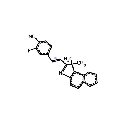 CC1(C)C(/C=C/c2ccc(C#N)c(F)c2)=Nc2ccc3ccccc3c21